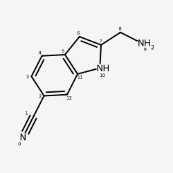 N#Cc1ccc2cc(CN)[nH]c2c1